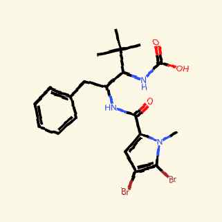 Cn1c(C(=O)NC(Cc2ccccc2)C(NC(=O)O)C(C)(C)C)cc(Br)c1Br